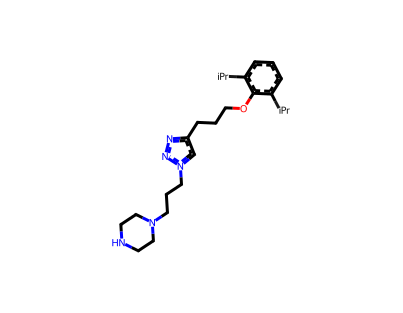 CC(C)c1cccc(C(C)C)c1OCCCc1cn(CCCN2CCNCC2)nn1